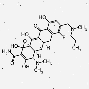 CCCN(C)Cc1cc(O)c2c(c1F)C[C@H]1C[C@H]3[C@H](N(C)C)C(O)=C(C(N)=O)C4(O)O[C@]34C(O)=C1C2=O